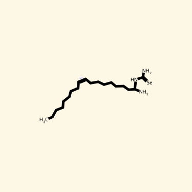 CCCCCCCC/C=C\CCCCCCCC(N)NC(N)=[Se]